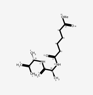 C=C(O)[C@H](C)NC(=C)[C@H](C)NC(=O)CCCCC(=O)OC